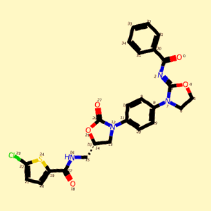 O=C(N=C1OCCN1c1ccc(N2C[C@H](CNC(=O)c3ccc(Cl)s3)OC2=O)cc1)c1ccccc1